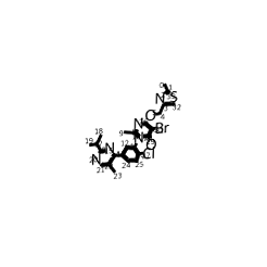 Cc1nc(COc2nc(C)n(-c3cc(-c4nc(C(C)C)ncc4C)ccc3Cl)c(=O)c2Br)cs1